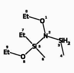 CCON([SiH2]C)[Si](C)(CC)OCC